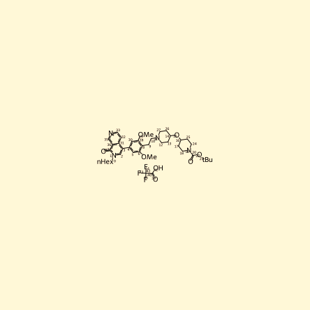 CCCCCCn1cc(-c2cc(OC)c(CCN3CCC(OC4CCN(C(=O)OC(C)(C)C)CC4)CC3)c(OC)c2)c2ccncc2c1=O.O=C(O)C(F)(F)F